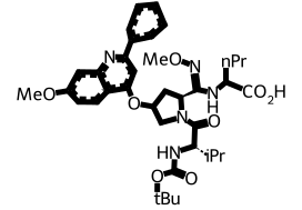 CCCC(N/C(=N/OC)[C@@H]1CC(Oc2cc(-c3ccccc3)nc3cc(OC)ccc23)CN1C(=O)[C@@H](NC(=O)OC(C)(C)C)C(C)C)C(=O)O